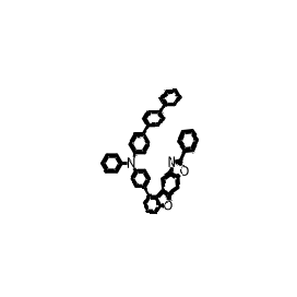 c1ccc(-c2ccc(-c3ccc(N(c4ccccc4)c4ccc(-c5cccc6oc7cc8oc(-c9ccccc9)nc8cc7c56)cc4)cc3)cc2)cc1